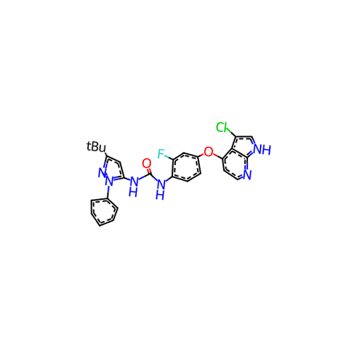 CC(C)(C)c1cc(NC(=O)Nc2ccc(Oc3ccnc4[nH]cc(Cl)c34)cc2F)n(-c2ccccc2)n1